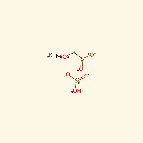 O=S([O-])CO.O=S([O-])O.[K+].[Na+]